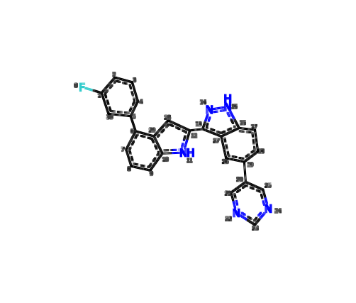 Fc1cccc(-c2cccc3[nH]c(-c4n[nH]c5ccc(-c6cncnc6)cc45)cc23)c1